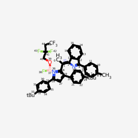 C/C(=C1/N=C(c2ccc(C)cc2)c2ccccc21)c1c(-c2ccc(C(C)(C)C)cc2)cc(-c2ccc(C(C)(C)C)cc2)n1B(F)OCC(F)(F)CC(F)(F)F